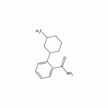 CC1CCCC(c2ccccc2C(N)=O)C1